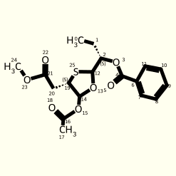 CC[C@H](OC(=O)c1ccccc1)C1OC(OC(C)=O)[C@H](CC(=O)OC)S1